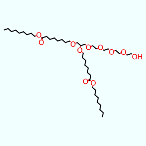 CCCCCCCCCOC(=O)CCCCCCCOCC(COCCOCCOCCOCCO)OCCCCCCCC(=O)OCCCCCCCCC